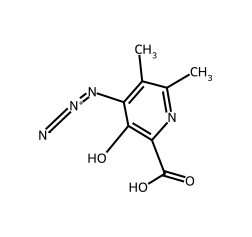 Cc1nc(C(=O)O)c(O)c(N=[N+]=[N-])c1C